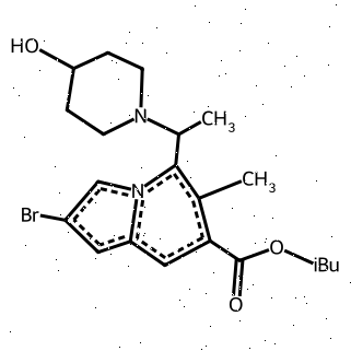 CCC(C)OC(=O)c1cc2cc(Br)cn2c(C(C)N2CCC(O)CC2)c1C